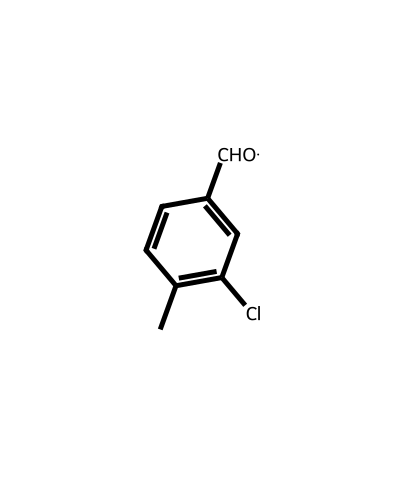 Cc1ccc([C]=O)cc1Cl